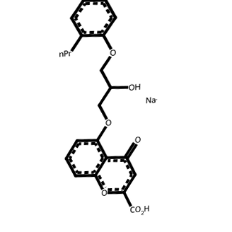 CCCc1ccccc1OCC(O)COc1cccc2oc(C(=O)O)cc(=O)c12.[Na]